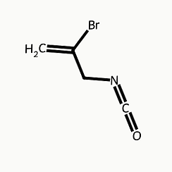 C=C(Br)CN=C=O